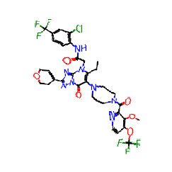 CCc1c(N2CCN(C(=O)c3nccc(OC(F)(F)F)c3OC)CC2)c(=O)n2nc(C3=CCOCC3)nc2n1CC(=O)Nc1ccc(C(F)(F)F)cc1Cl